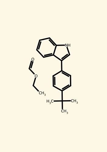 CC(C)(C)c1ccc(-c2c[nH]c3ccccc23)cc1.CCOC=O